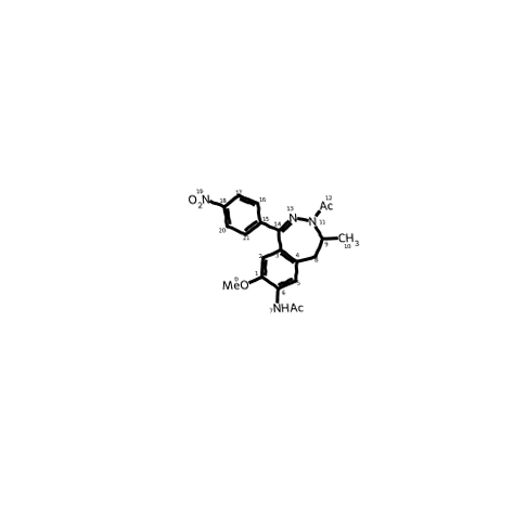 COc1cc2c(cc1NC(C)=O)CC(C)N(C(C)=O)N=C2c1ccc([N+](=O)[O-])cc1